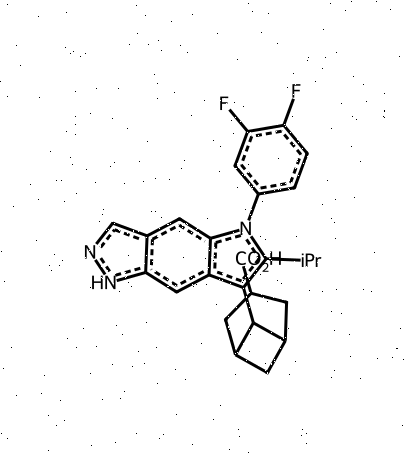 CC(C)c1c(C2C3CC(C(=O)O)CC2C3)c2cc3[nH]ncc3cc2n1-c1ccc(F)c(F)c1